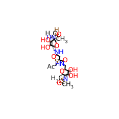 CC(=O)CSC(CC(=O)NC[C@H]1OC[C@@H](N[SH](C)(C)=O)[C@@H](O)[C@H]1O)C(=O)NCC1OC[C@@H](N=S(C)(C)=O)[C@@H](O)[C@H]1O